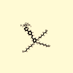 [CH3][Sn]([CH3])([CH3])[c]1ccc(-c2ccc(C=Cc3cc(OCCCCCCBr)c(OCCCCCCBr)c(OCCCCCCBr)c3)cc2)s1